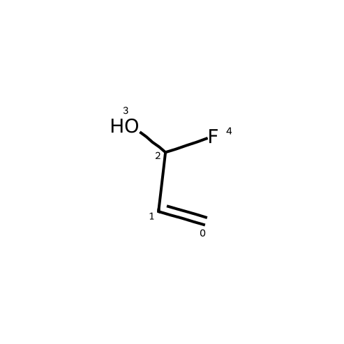 C=CC(O)F